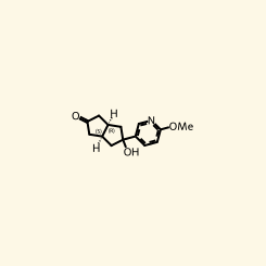 COc1ccc(C2(O)C[C@H]3CC(=O)C[C@H]3C2)cn1